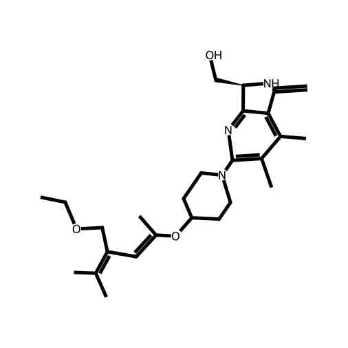 C=C1N[C@H](CO)c2nc(N3CCC(O/C(C)=C/C(COCC)=C(C)C)CC3)c(C)c(C)c21